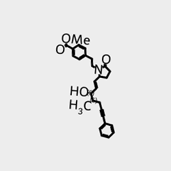 COC(=O)c1ccc(CCN2C(=O)CCC2C=C[C@@H](O)[C@@H](C)CC#Cc2ccccc2)cc1